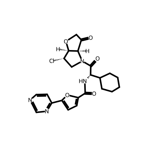 O=C(N[C@H](C(=O)N1C[C@H](Cl)[C@H]2OCC(=O)[C@H]21)C1CCCCC1)c1ccc(-c2ccncn2)o1